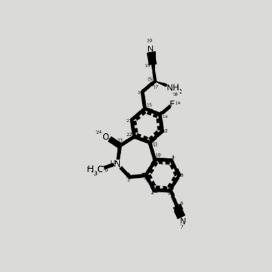 CN1Cc2cc(C#N)ccc2-c2cc(F)c(C[C@H](N)C#N)cc2C1=O